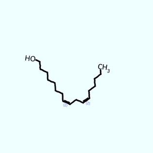 CCCCC/C=C\C/C=C\CCCCCCCO